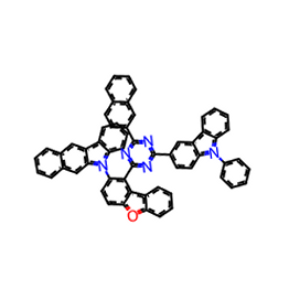 c1ccc(-n2c3ccccc3c3cc(-c4nc(-c5ccc6ccccc6c5)nc(-c5c(-n6c7ccccc7c7cc8ccccc8cc76)ccc6oc7ccccc7c56)n4)ccc32)cc1